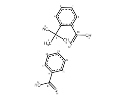 CC(C)(C#N)c1ccccc1C(O)=S.OC(=S)c1ccccc1